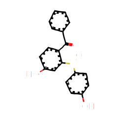 O=C(c1ccccc1)c1ccc(O)cc1[S+]([O-])c1ccc(O)cc1